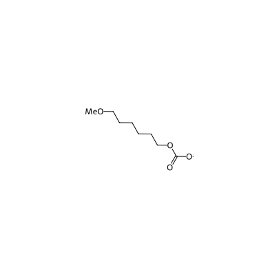 [CH2]OCCCCCCOC([O])=O